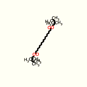 CC(C)CC(C)(C)CCOC(=O)CCCCCCCC=CCCCCCCCC(=O)OCCC(C)(C)CC(C)C